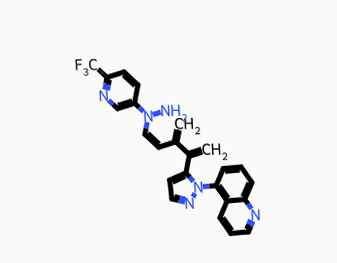 C=C(/C=C\N(N)c1ccc(C(F)(F)F)nc1)C(=C)c1ccnn1-c1cccc2ncccc12